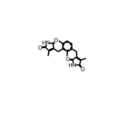 CC1=C(Cc2ccc(C)c(CC3=C(C)C(=O)NC3=O)c2C)C(=O)NC1=O